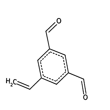 C=Cc1cc(C=O)cc(C=O)c1